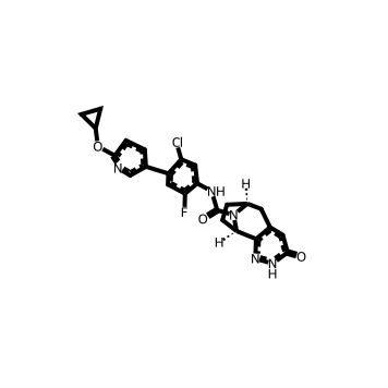 O=C(Nc1cc(Cl)c(-c2ccc(OC3CC3)nc2)cc1F)N1[C@H]2CC[C@@H]1c1n[nH]c(=O)cc1C2